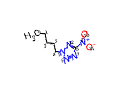 CCCCCn1nnc([N+](=O)[O-])n1